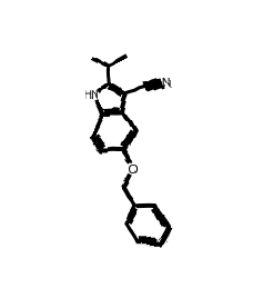 CC(C)c1[nH]c2ccc(OCc3ccccc3)cc2c1C#N